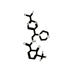 O=C(NCC(c1cnc(C(F)F)nc1)N1CCOCC1)C1C=CC=C(C(F)(F)F)C1=O